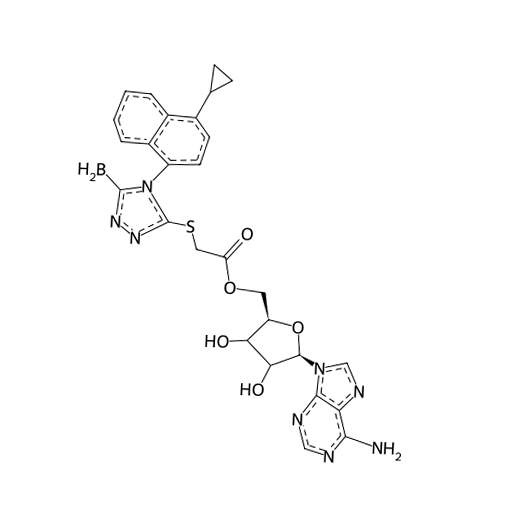 Bc1nnc(SCC(=O)OC[C@H]2O[C@@H](n3cnc4c(N)ncnc43)C(O)C2O)n1-c1ccc(C2CC2)c2ccccc12